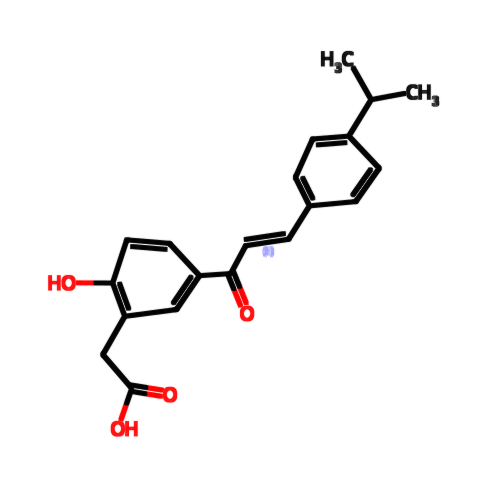 CC(C)c1ccc(/C=C/C(=O)c2ccc(O)c(CC(=O)O)c2)cc1